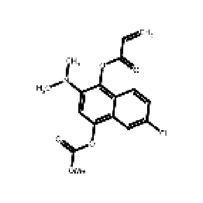 C=CC(=O)Oc1c(N(C)C)cc(OC(=O)OC)c2cc(Cl)ccc12